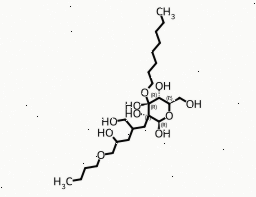 CCCCCCCCO[C@]1(O)[C@H](O)[C@@H](CO)O[C@@H](O)[C@@]1(O)CC(CO)CC(O)COCCCC